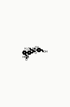 CCCc1nc(C)n(-c2ccc(CCO)cc2)c(=O)c1Cc1ccc(-c2ccccc2-c2noc(=O)[nH]2)cc1